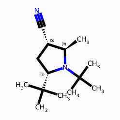 C[C@@H]1[C@@H](C#N)C[C@@H](C(C)(C)C)N1C(C)(C)C